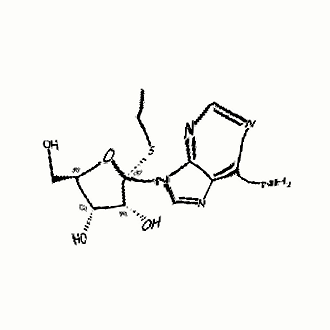 CCS[C@@]1(n2cnc3c(N)ncnc32)O[C@H](CO)[C@@H](O)[C@H]1O